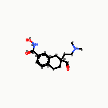 CN(C)CC[C@@]1(C=O)CCc2ccc(C(=O)NO)cc2C1